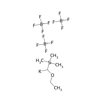 CCO[CH]([K])[Si](C)(C)C.F[B-](F)(F)F.F[B-](F)(F)F.F[B-](F)(F)F